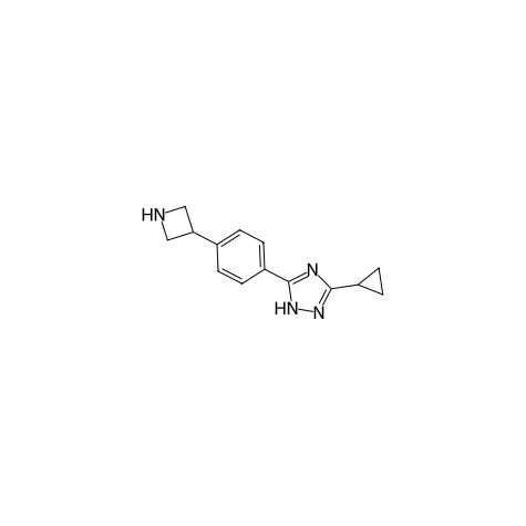 c1cc(C2CNC2)ccc1-c1nc(C2CC2)n[nH]1